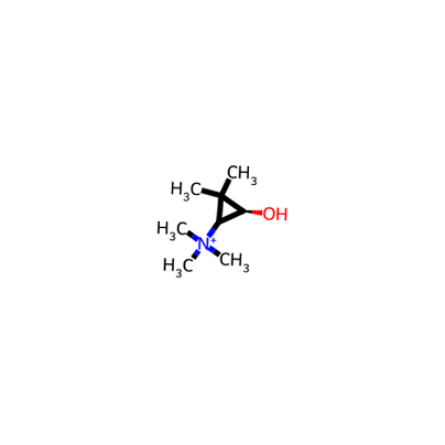 CC1(C)C([N+](C)(C)C)[C@@H]1O